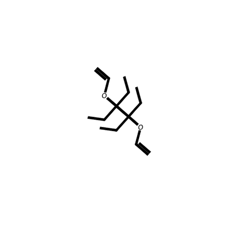 C=COC(CC)(CC)C(CC)(CC)OC=C